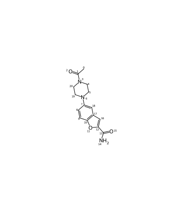 CC(=O)N1CCN(c2ccc3oc(C(N)=O)cc3c2)CC1